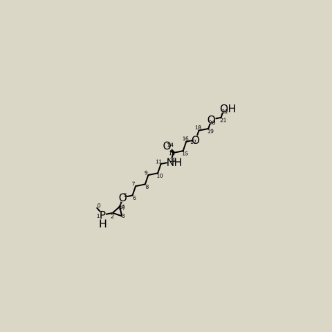 CPC1C[C@@H]1OCCCCCCNC(=O)CCOCCOCO